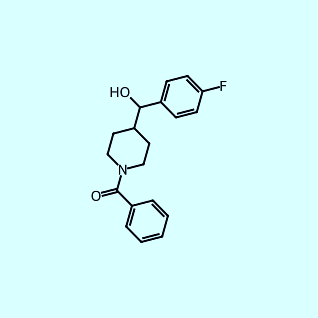 O=C(c1ccccc1)N1CCC(C(O)c2ccc(F)cc2)CC1